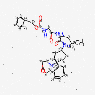 CC(C)CC(NC(=O)CNC(=O)OCc1ccccc1)C(=O)NC1CCC(c2ccccc2)(N2CCOCC2)CC1